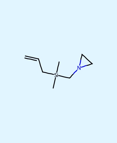 C=CC[Si](C)(C)CN1CC1